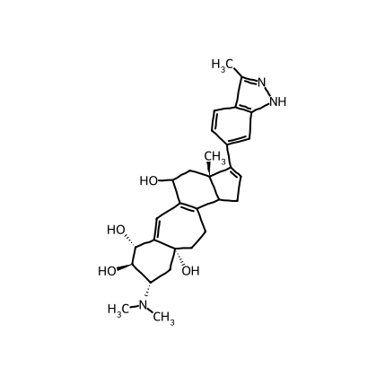 Cc1n[nH]c2cc(C3=CCC4C5=C(C=C6[C@@H](O)[C@H](O)[C@@H](N(C)C)C[C@]6(O)CC5)C(O)C[C@]34C)ccc12